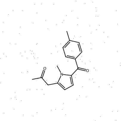 CC(=O)Cc1ccc(C(=O)c2ccc(C)cc2)n1C